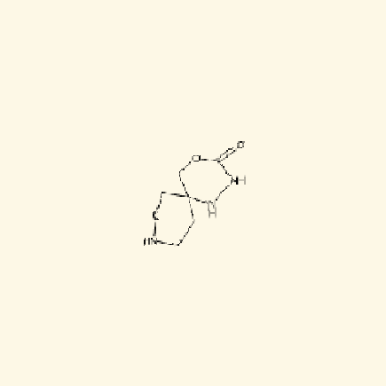 O=C1NNC2(CCNCC2)CO1